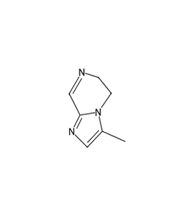 Cc1cnc2n1CCN=C2